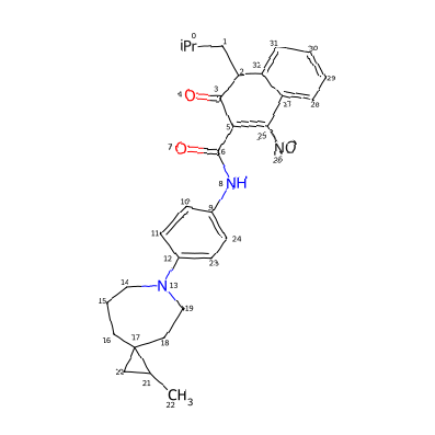 CC(C)CC1C(=O)C(C(=O)Nc2ccc(N3CCCC4(CC3)CC4C)cc2)=C(N=O)c2ccccc21